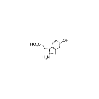 NC1Cc2cc(O)ccc2C1CCC(=O)O